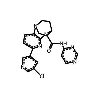 O=C(Nc1ccncn1)N1c2nc(-c3cncc(Cl)c3)ccc2N2CCC1CC2